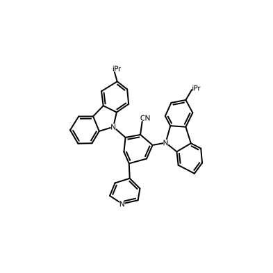 CC(C)c1ccc2c(c1)c1ccccc1n2-c1cc(-c2ccncc2)cc(-n2c3ccccc3c3cc(C(C)C)ccc32)c1C#N